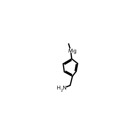 [CH3][Mg][c]1ccc(CN)cc1